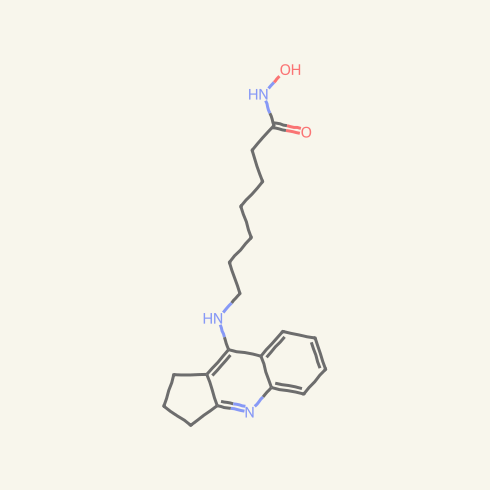 O=C(CCCCCCNc1c2c(nc3ccccc13)CCC2)NO